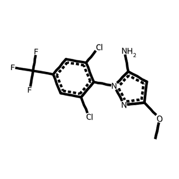 COc1cc(N)n(-c2c(Cl)cc(C(F)(F)F)cc2Cl)n1